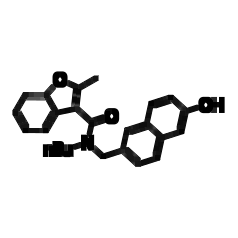 CCCCN(Cc1ccc2cc(O)ccc2c1)C(=O)c1c(C)oc2ccccc12